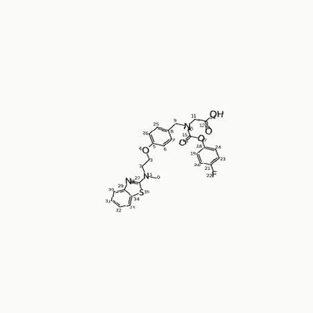 CN(CCOc1ccc(CN(CC(=O)O)C(=O)Oc2ccc(F)cc2)cc1)c1nc2ccccc2s1